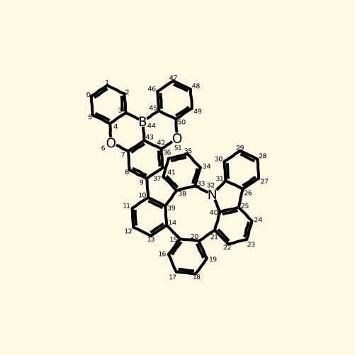 c1ccc2c(c1)Oc1cc(-c3cccc4c5ccccc5c5cccc6c7ccccc7n(c7ccccc7c34)c56)cc3c1B2c1ccccc1O3